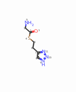 NCC(=O)SCCc1c[nH]nn1